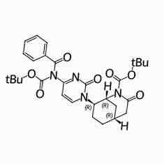 CC(C)(C)OC(=O)N(C(=O)c1ccccc1)c1ccn([C@@H]2CC[C@H]3CC(=O)N(C(=O)OC(C)(C)C)[C@@H]2C3)c(=O)n1